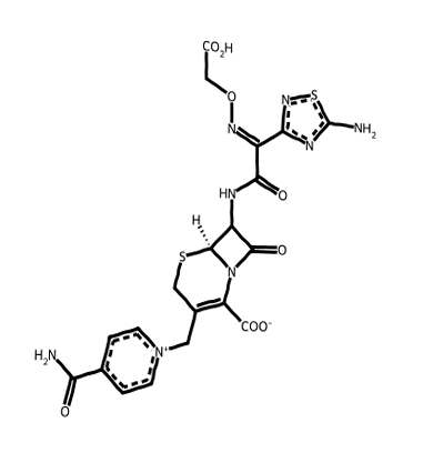 NC(=O)c1cc[n+](CC2=C(C(=O)[O-])N3C(=O)C(NC(=O)C(=NOCC(=O)O)c4nsc(N)n4)[C@@H]3SC2)cc1